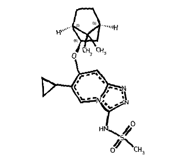 CC1(C)[C@H]2CC[C@@H]1[C@H](Oc1cc3nnc(NS(C)(=O)=O)n3cc1C1CC1)C2